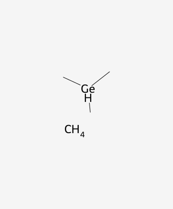 C.[CH3][GeH]([CH3])[CH3]